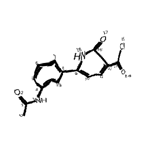 CC(=O)Nc1cccc(-c2ccc(C(=O)Cl)c(=O)[nH]2)c1